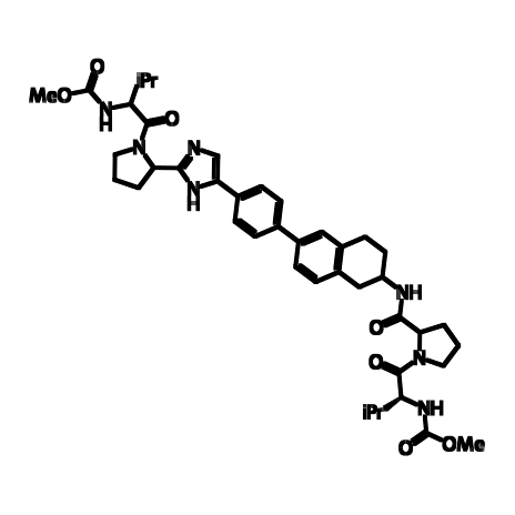 COC(=O)NC(C(=O)N1CCCC1c1ncc(-c2ccc(-c3ccc4c(c3)CCC(NC(=O)C3CCCN3C(=O)[C@@H](NC(=O)OC)C(C)C)C4)cc2)[nH]1)C(C)C